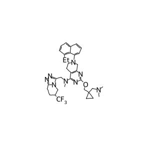 CCc1cccc2cccc(N3CCc4c(nc(OCC5(CN(C)C)CC5)nc4N(C)Cc4nnc5n4CC(C(F)(F)F)CC5)C3)c12